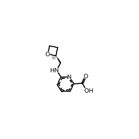 O=C(O)c1cccc(NC[C@@H]2CCO2)n1